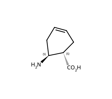 N[C@H]1CC=CC[C@@H]1C(=O)O